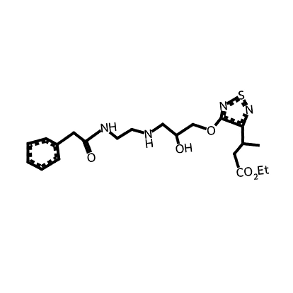 CCOC(=O)CC(C)c1nsnc1OCC(O)CNCCNC(=O)Cc1ccccc1